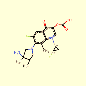 Cc1c(N2CC(C)C(C)(N)C2)c(F)cc2c(=O)c(OC(=O)O)cn([C@@H]3C[C@@H]3F)c12